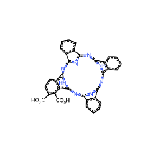 O=C(O)c1ccc2c3nc4nc(nc5[nH]c(nc6nc(nc([nH]3)c2c1C(=O)O)-c1ccccc1-6)c1ccccc51)-c1ccccc1-4